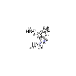 C=N/C(NCCC)=C(C#CCCCNC)\C=N/c1cccc(C(F)(F)F)c1